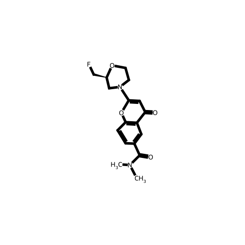 CN(C)C(=O)c1ccc2oc(N3CCO[C@H](CF)C3)cc(=O)c2c1